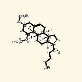 CCOC(=O)O[C@H]1CC2=CC[C@H]3[C@@H]4CC[C@H]([C@H](C)CCCC(C)C)[C@@]4(C)CC[C@@H]3[C@@]2(C)[C@@H](OC(=O)OCC)C1